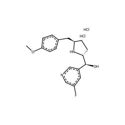 COc1ccc(C[C@H]2CC[C@H]([C@@H](O)c3cncc(F)c3)N2)cc1.Cl.Cl